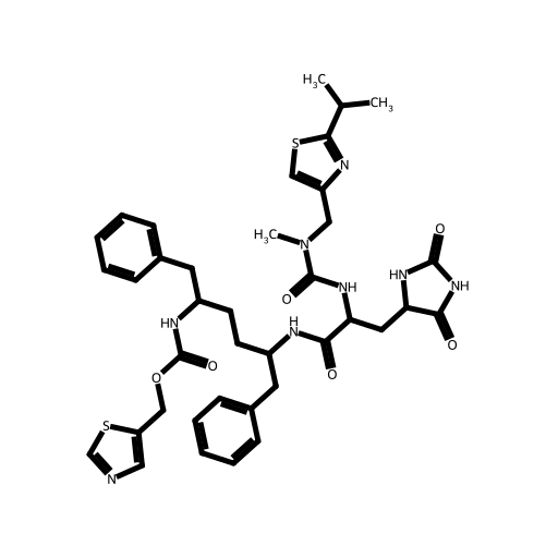 CC(C)c1nc(CN(C)C(=O)NC(CC2NC(=O)NC2=O)C(=O)NC(CCC(Cc2ccccc2)NC(=O)OCc2cncs2)Cc2ccccc2)cs1